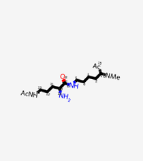 CNC(CCCCNC(=O)C(N)CCCNC(C)=O)C(C)=O